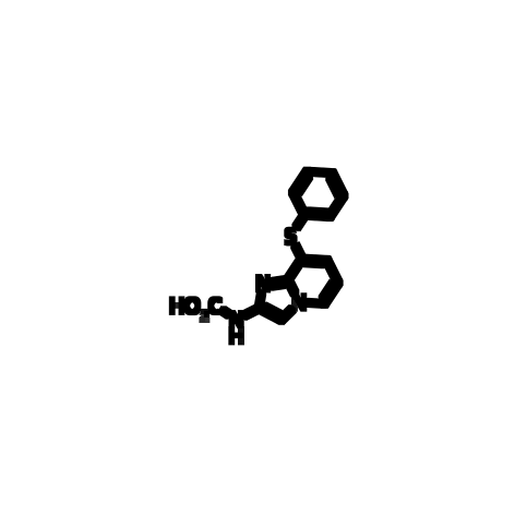 O=C(O)Nc1cn2cccc(Sc3ccccc3)c2n1